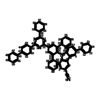 N#Cc1ccc2c(c1)c1cc(-c3ccccc3)ccc1n2-c1c(-c2ccccc2)cc(-c2nc(-c3ccccc3)nc(-c3ccc(-c4ccccc4)cc3)n2)cc1-c1ccccc1